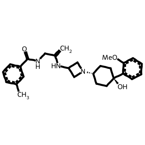 C=C(CNC(=O)c1cccc(C)c1)NC1CN([C@H]2CC[C@@](O)(c3ccccc3OC)CC2)C1